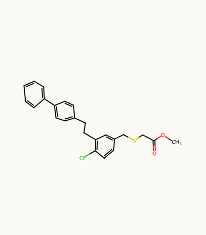 COC(=O)CSCc1ccc(Cl)c(CCc2ccc(-c3ccccc3)cc2)c1